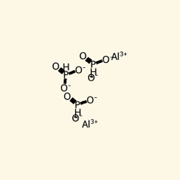 O=[PH]([O-])[O-].O=[PH]([O-])[O-].O=[PH]([O-])[O-].[Al+3].[Al+3]